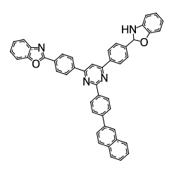 c1ccc2c(c1)NC(c1ccc(-c3cc(-c4ccc(-c5nc6ccccc6o5)cc4)nc(-c4ccc(-c5ccc6ccccc6c5)cc4)n3)cc1)O2